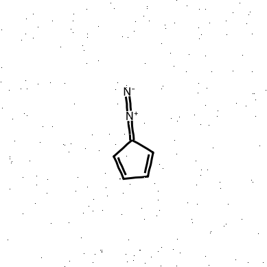 [N-]=[N+]=C1C=[C]C=C1